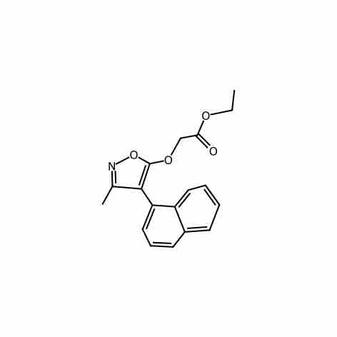 CCOC(=O)COc1onc(C)c1-c1cccc2ccccc12